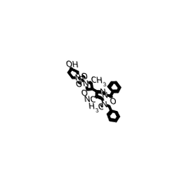 CC1C(c2nn(C(=O)c3ccccc3)c(N(C)Cc3ccccc3)c2C#N)C(=O)N1S(=O)(=O)N1CCC(O)C1